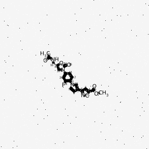 COC(=O)c1cc(-c2ccn(-c3ccc(N4C[C@H](CNC(C)=O)OC4=O)cc3F)c2)no1